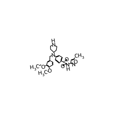 CCOc1cc(CN(c2ccc(S(=O)(=O)Nc3cc(C)on3)cc2)C2CCNCC2)ccc1OC